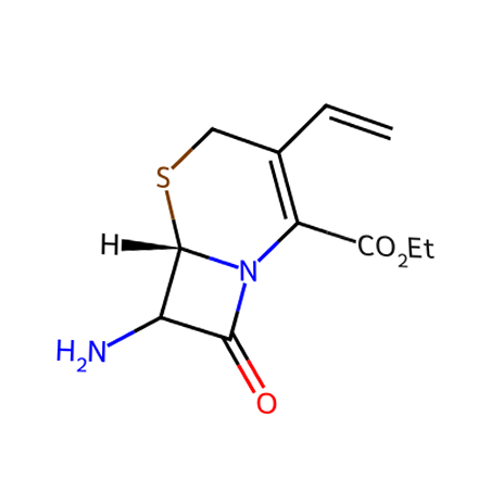 C=CC1=C(C(=O)OCC)N2C(=O)C(N)[C@@H]2SC1